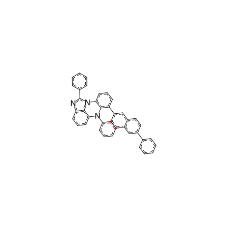 c1ccc(-c2ccc3cc(-c4cccc5c4N(c4ccccc4)c4cccc6nc(-c7ccccc7)n-5c46)ccc3c2)cc1